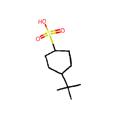 CC(C)(C)C1CCC(S(=O)(=O)O)CC1